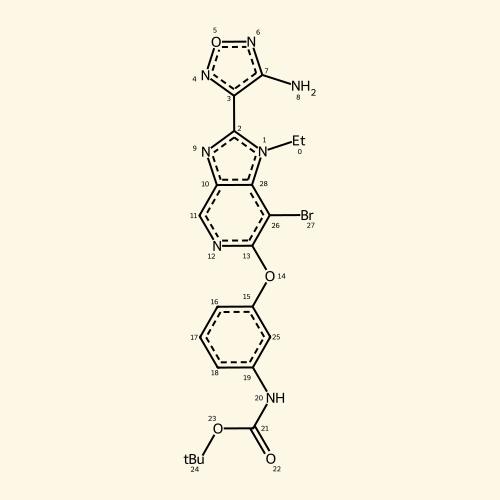 CCn1c(-c2nonc2N)nc2cnc(Oc3cccc(NC(=O)OC(C)(C)C)c3)c(Br)c21